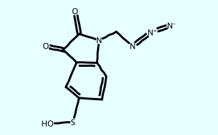 [N-]=[N+]=NCN1C(=O)C(=O)c2cc(SO)ccc21